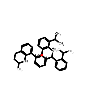 CC1CCc2cccc(-c3cccc(C(Nc4c(C(C)C)cccc4C(C)C)c4ccccc4C(C)C)n3)c2N1